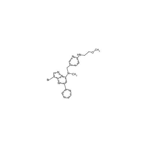 COCCNc1ccc(CN(C)c2cc(-c3ccccc3)nc3c(Br)cnn23)cn1